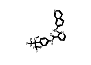 COC(c1ccc(NC(=O)c2cccnc2Nc2ccc3ccncc3c2)cc1)(C(F)(F)F)C(F)(F)F